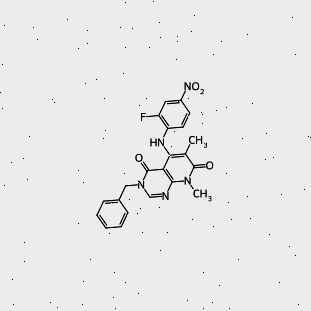 Cc1c(Nc2ccc([N+](=O)[O-])cc2F)c2c(=O)n(Cc3ccccc3)cnc2n(C)c1=O